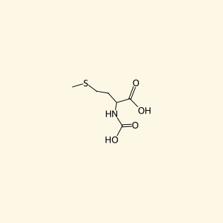 CSCCC(NC(=O)O)C(=O)O